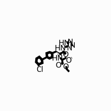 CCOC(=O)C(COC)N[C@@H](Cc1ccc(-c2cccc(Cl)c2)cc1)C(=O)Nc1nnn[nH]1